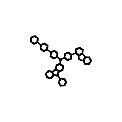 c1ccc(-c2ccc(-c3ccc(N(c4ccc(-c5cccc6c5Cc5ccccc5-6)cc4)c4ccc5c(c4)c4ccccc4n5-c4ccccc4)cc3)cc2)cc1